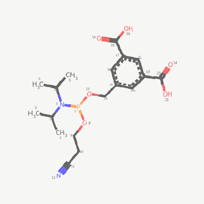 CC(C)N(C(C)C)P(OCCC#N)OCc1cc(C(=O)O)cc(C(=O)O)c1